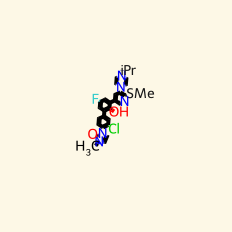 CSc1ncc(-c2cc(F)cc(-c3ccc(-n4ccn(C)c4=O)c(Cl)c3)c2O)cc1N1CCN(C(C)C)CC1